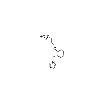 O=C(O)CCCOc1ccccc1Cn1ccnc1